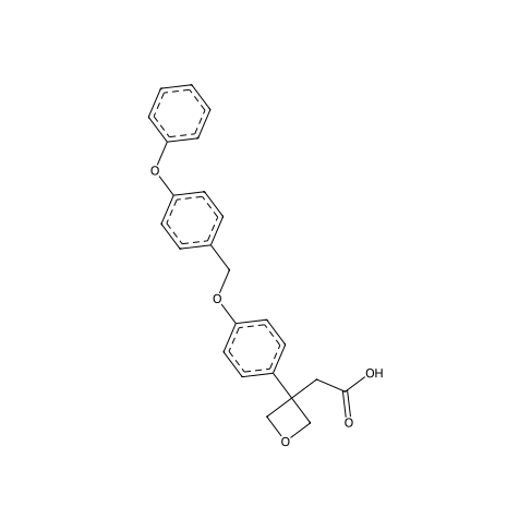 O=C(O)CC1(c2ccc(OCc3ccc(Oc4ccccc4)cc3)cc2)COC1